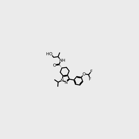 CC(CO)NC(=O)[C@@H]1CCc2c(-c3cccc(OC(F)F)c3)nn(C(C)C)c2C1